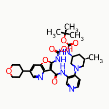 C[C@@H]1C[C@H](NC(=O)OC(C)(C)C)CN(c2ccncc2NC(=O)c2c(NC(=O)O)oc3cc(C4CCOCC4)cnc23)C1